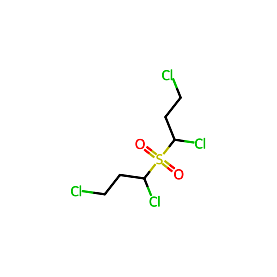 O=S(=O)(C(Cl)CCCl)C(Cl)CCCl